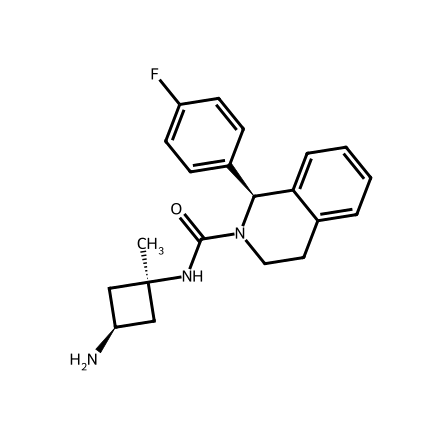 C[C@]1(NC(=O)N2CCc3ccccc3[C@@H]2c2ccc(F)cc2)C[C@@H](N)C1